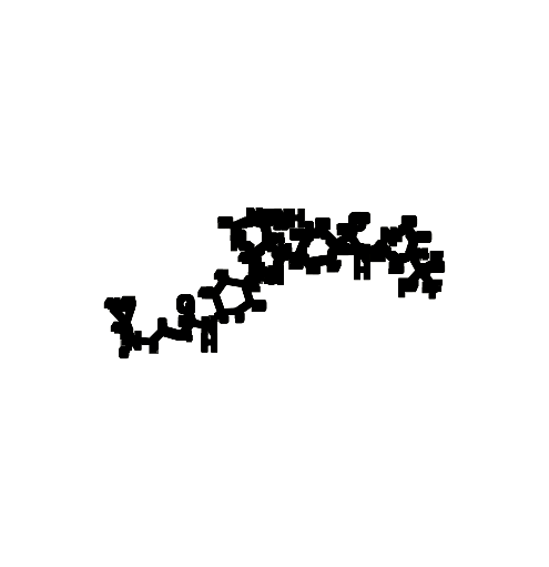 CN(C/C=C/C(=O)N[C@H]1CC[C@H](n2nc(-c3ccc(C(=O)Nc4cc(C(F)(F)F)ccn4)cc3)c3c(N)ncnc32)CC1)C1CC1